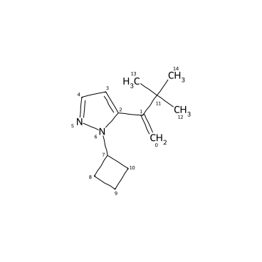 C=C(c1ccnn1C1CCC1)C(C)(C)C